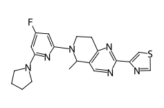 CC1c2cnc(-c3cscn3)nc2CCN1c1cc(F)cc(N2CCCC2)n1